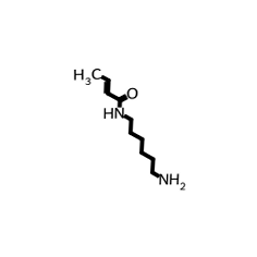 C/C=C/C(=O)NCCCCCCN